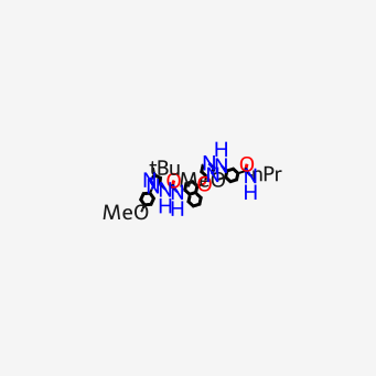 CCCNC(=O)c1ccc(OC)c(Nc2nccc(Oc3ccc(NC(=O)Nc4cc(C(C)(C)C)nn4-c4ccc(OC)cc4)c4ccccc34)n2)c1